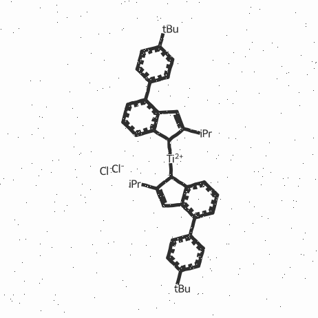 CC(C)C1=Cc2c(-c3ccc(C(C)(C)C)cc3)cccc2[CH]1[Ti+2][CH]1C(C(C)C)=Cc2c(-c3ccc(C(C)(C)C)cc3)cccc21.[Cl-].[Cl-]